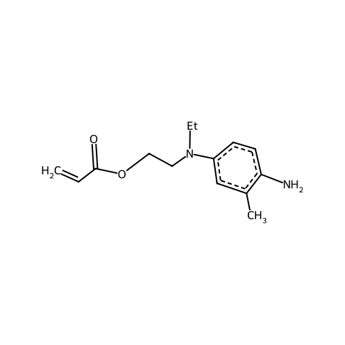 C=CC(=O)OCCN(CC)c1ccc(N)c(C)c1